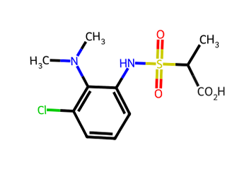 CC(C(=O)O)S(=O)(=O)Nc1cccc(Cl)c1N(C)C